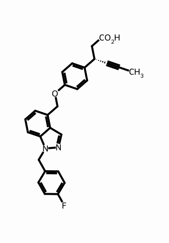 CC#C[C@@H](CC(=O)O)c1ccc(OCc2cccc3c2cnn3Cc2ccc(F)cc2)cc1